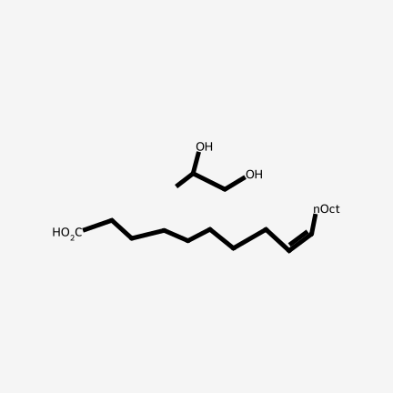 CC(O)CO.CCCCCCCC/C=C\CCCCCCCC(=O)O